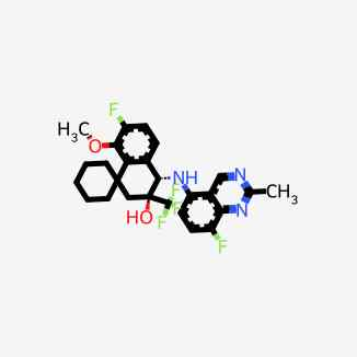 COc1c(F)ccc2c1C1(CCCCC1)C[C@@](O)(C(F)(F)F)[C@H]2Nc1ccc(F)c2nc(C)ncc12